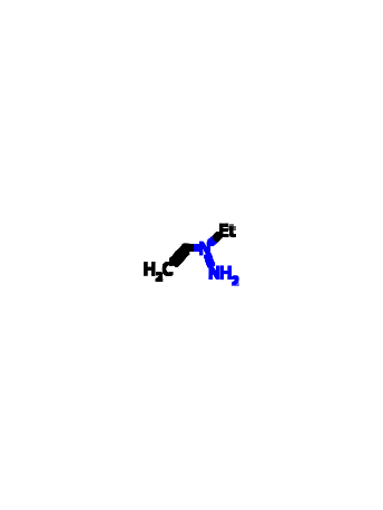 C=CN(N)CC